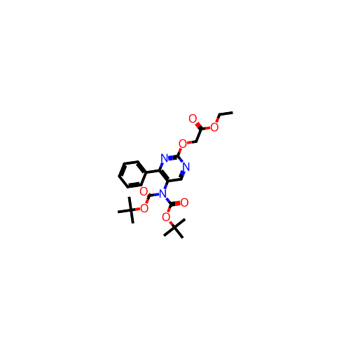 CCOC(=O)COc1ncc(N(C(=O)OC(C)(C)C)C(=O)OC(C)(C)C)c(-c2ccccc2)n1